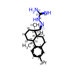 CC(C)c1ccc2c(c1)CC[C@H]1[C@](C)(/C=N\NC(=N)N)CCC[C@]21C